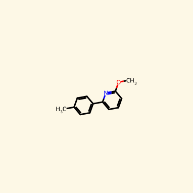 COc1cccc(-c2ccc(C)cc2)n1